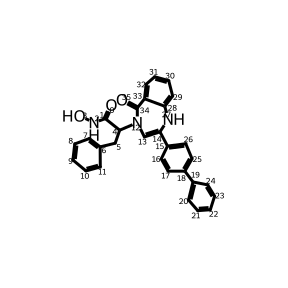 O=C(NO)C(Cc1ccccc1)N1C=C(c2ccc(-c3ccccc3)cc2)Nc2ccccc2C1=O